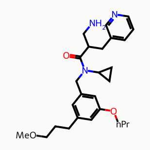 CCCOc1cc(CCCOC)cc(CN(C(=O)C(CN)Cc2cccnc2)C2CC2)c1